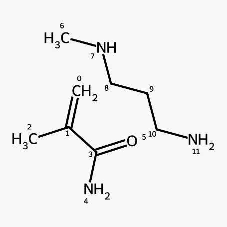 C=C(C)C(N)=O.CNCCCN